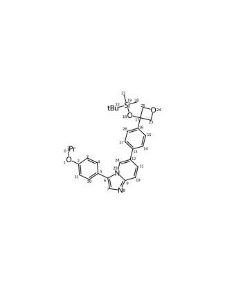 CC(C)Oc1ccc(-c2cnc3ccc(-c4ccc(C5(O[Si](C)(C)C(C)(C)C)COC5)cc4)cn23)cc1